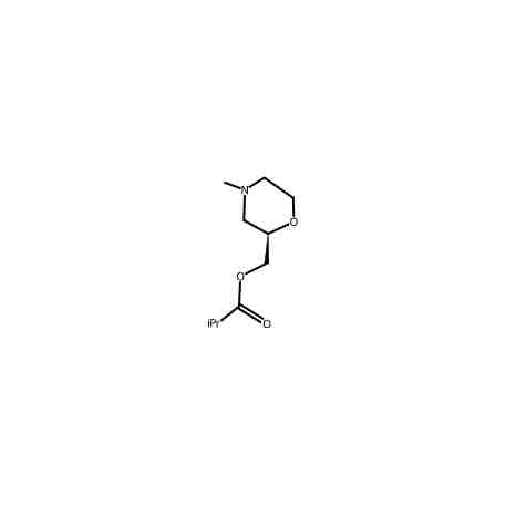 CC(C)C(=O)OC[C@H]1CN(C)CCO1